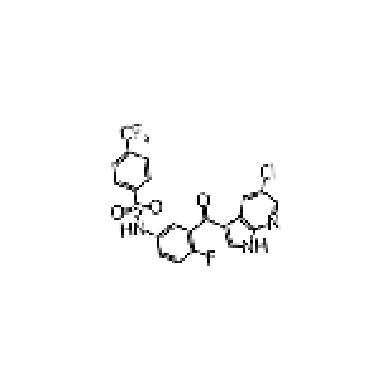 O=C(c1cc(NS(=O)(=O)c2ccc(C(F)(F)F)cc2)ccc1F)c1c[nH]c2ncc(Cl)cc12